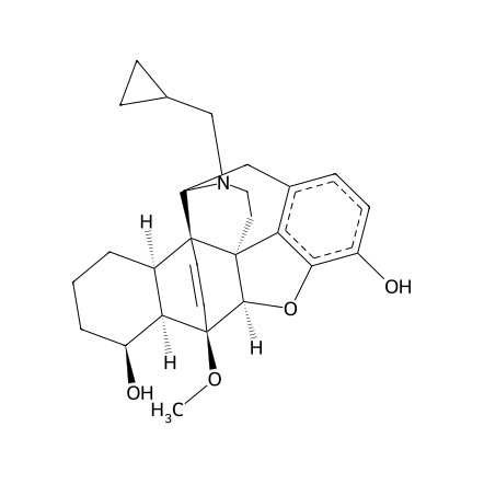 CO[C@@]12C=C[C@]3(C4Cc5ccc(O)c6c5[C@@]3(CCN4CC3CC3)[C@H]1O6)[C@@H]1CCC[C@H](O)[C@@H]12